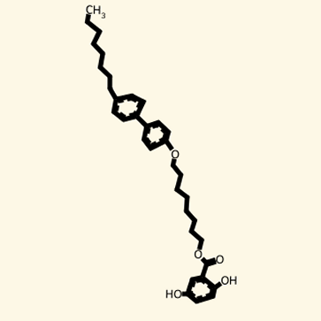 CCCCCCCCc1ccc(-c2ccc(OCCCCCCCCOC(=O)c3cc(O)ccc3O)cc2)cc1